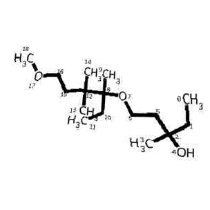 CCC(C)(O)CCOC(C)(CC)C(C)(C)CCOC